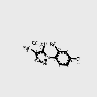 CCOC(=O)c1c(C(F)(F)F)nnn1-c1ccc(Cl)cc1Br